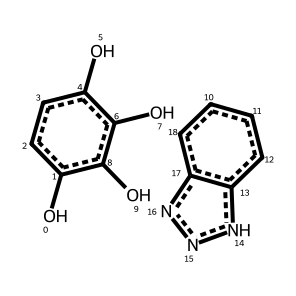 Oc1ccc(O)c(O)c1O.c1ccc2[nH]nnc2c1